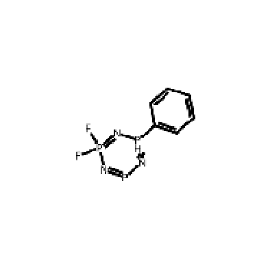 FP1(F)=N[PH](c2ccccc2)=NP=N1